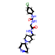 O=C(CNC(=O)Nc1ccc(Cl)cc1)NCC1CCN(c2ccncc2)CC1